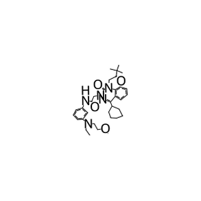 CCN(CCOC)c1cccc(NC(=O)CN2N=C(C3CCCCC3)c3ccccc3N(CC(=O)C(C)(C)C)C2=O)c1